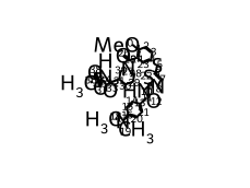 COc1ccc(Sc2cnc(NC(=O)c3ccc(N(C)C)cc3)s2)cc1C(=O)N1CCCC(C(=O)NS(C)(=O)=O)C1